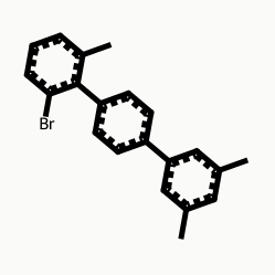 Cc1cc(C)cc(-c2ccc(-c3c(C)cccc3Br)cc2)c1